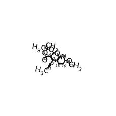 CC#CC(=C1C(=O)OC(C)(C)OC1=O)c1ccc(OC)nc1